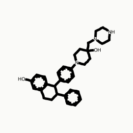 Oc1ccc2c(c1)CCC(c1ccccc1)C2c1ccc(N2CCC(O)(CN3CCNCC3)CC2)cc1